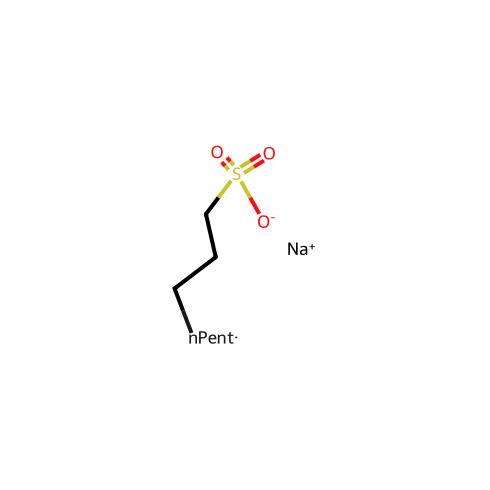 CCCC[CH]CCCS(=O)(=O)[O-].[Na+]